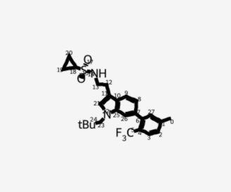 Cc1ccc(C(F)(F)F)c(-c2ccc3c(CCNS(=O)(=O)C4CC4)cn(CC(C)(C)C)c3c2)c1